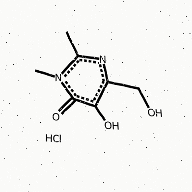 Cc1nc(CO)c(O)c(=O)n1C.Cl